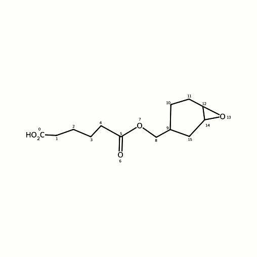 O=C(O)CCCCC(=O)OCC1CCC2OC2C1